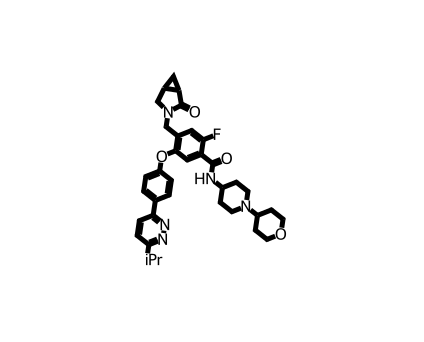 CC(C)c1ccc(-c2ccc(Oc3cc(C(=O)NC4CCN(C5CCOCC5)CC4)c(F)cc3CN3CC4CC4C3=O)cc2)nn1